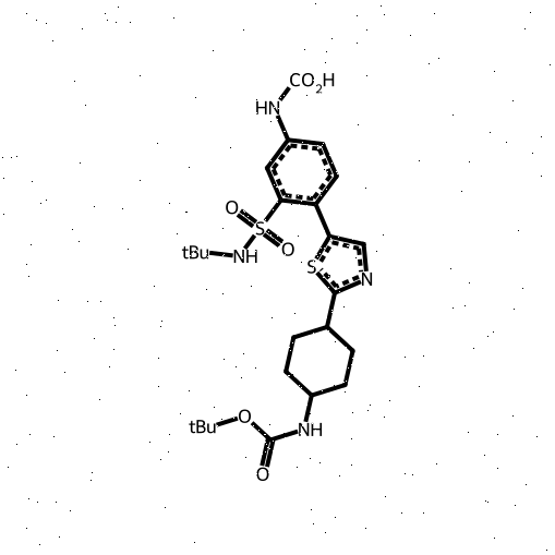 CC(C)(C)NS(=O)(=O)c1cc(NC(=O)O)ccc1-c1cnc(C2CCC(NC(=O)OC(C)(C)C)CC2)s1